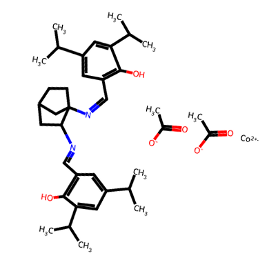 CC(=O)[O-].CC(=O)[O-].CC(C)c1cc(C=NC2CC3CCC2(N=Cc2cc(C(C)C)cc(C(C)C)c2O)C3)c(O)c(C(C)C)c1.[Co+2]